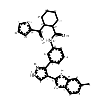 Cc1ccc2oc(-c3c[nH]nc3-c3cccc(NC(=O)C4CCCCC4C(=O)c4cccs4)c3)nc2c1